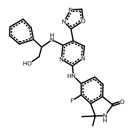 CC1(C)NC(=O)c2ccc(Nc3ncc(-c4nnco4)c(NC(CO)c4ccccc4)n3)c(F)c21